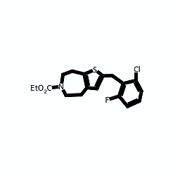 CCOC(=O)N1CCc2cc(Cc3c(F)cccc3Cl)sc2CC1